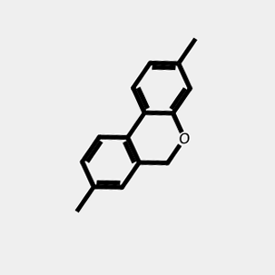 Cc1ccc2c(c1)COc1cc(C)ccc1-2